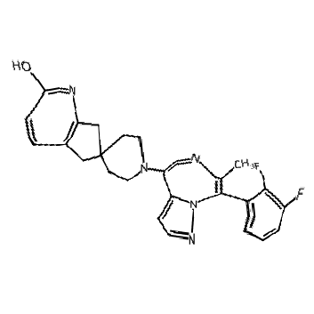 Cc1nc(N2CCC3(CC2)Cc2ccc(O)nc2C3)c2ccnn2c1-c1cccc(F)c1F